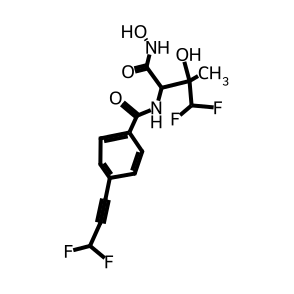 CC(O)(C(F)F)C(NC(=O)c1ccc(C#CC(F)F)cc1)C(=O)NO